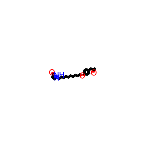 CC(=O)Cc1ccc(OCCCCCCCCCCN2CCC(=O)N2)cc1